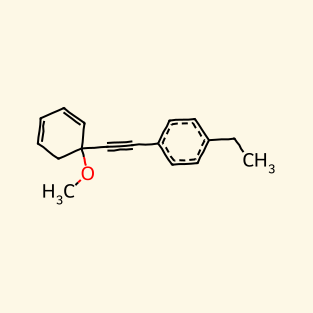 CCc1ccc(C#CC2(OC)C=CC=CC2)cc1